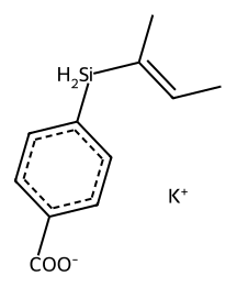 CC=C(C)[SiH2]c1ccc(C(=O)[O-])cc1.[K+]